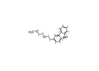 COCCOCCc1ccc2[nH]c3ccccc3c2c1